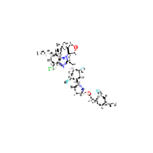 CC1(C)COC[C@H]1n1c(Cc2cc(F)c(-c3cccc(OCc4ccc(C#N)cc4F)n3)cc2F)nc2c(Cl)cc(C(=O)O)cc21